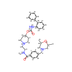 CC1CN(Cc2ccc(C(=O)N(C)CCN3CCC(OC(=O)Nc4ccccc4-c4ccccc4)CC3)cc2)CC(C)O1